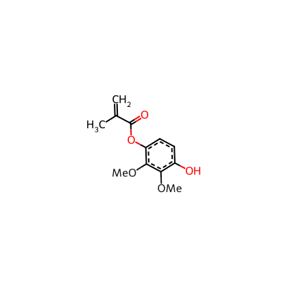 C=C(C)C(=O)Oc1ccc(O)c(OC)c1OC